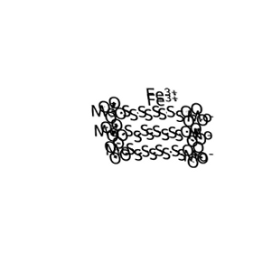 [Fe+3].[Fe+3].[O]=[Mo](=[O])([O-])[O]SSSSSSSS[O][Mo](=[O])(=[O])[O-].[O]=[Mo](=[O])([O-])[O]SSSSSSSS[O][Mo](=[O])(=[O])[O-].[O]=[Mo](=[O])([O-])[O]SSSSSSSS[O][Mo](=[O])(=[O])[O-]